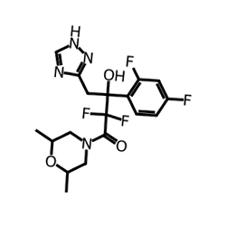 CC1CN(C(=O)C(F)(F)C(O)(Cc2nc[nH]n2)c2ccc(F)cc2F)CC(C)O1